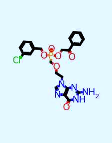 Nc1nc2c(ncn2CCOCP(=O)(OCC(=O)c2ccccc2)OCc2cccc(Cl)c2)c(=O)[nH]1